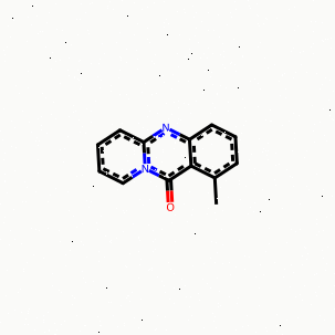 Cc1cccc2nc3ccccn3c(=O)c12